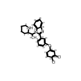 CC(C1CCCCN1)n1c(-c2cccc(Oc3ccc(Cl)c(Cl)c3)c2)nc2ccccc21